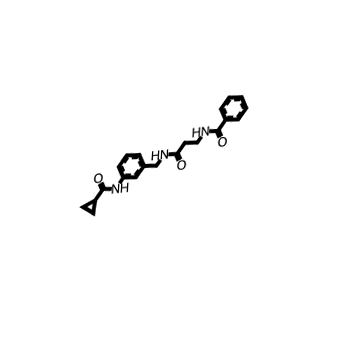 O=C(CCNC(=O)c1ccccc1)NCc1cccc(NC(=O)C2CC2)c1